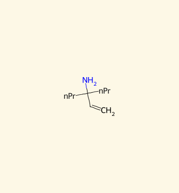 C=CC(N)(CCC)CCC